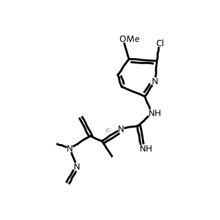 C=NN(C)C(=C)/C(C)=N/C(=N)Nc1ccc(OC)c(Cl)n1